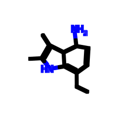 CCC1=C2NC(C)=C(C)C2C(N)C=C1